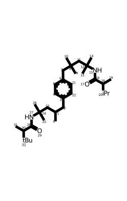 CC(Cc1ccc(CC(C)(C)CC(C)(C)NC(=O)C(C)C(C)C)cc1)CC(C)(C)NC(=O)C(C)C(C)(C)C